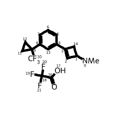 CNC1C=C(c2cccc(C3(C(F)(F)F)CC3)c2)C1.O=C(O)C(F)(F)F